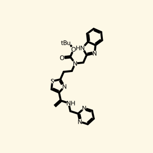 C=C(NCc1ncccn1)c1csc(CCN(Cc2nc3ccccc3[nH]2)C(=O)OC(C)(C)C)n1